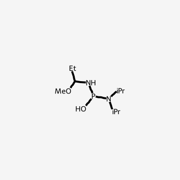 CCC(NP(O)N(C(C)C)C(C)C)OC